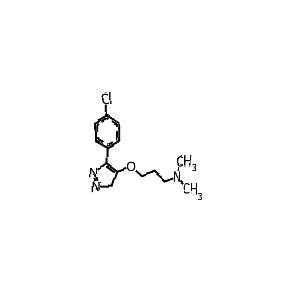 CN(C)CCCOC1=C(c2ccc(Cl)cc2)N=NC1